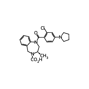 C[C@@H]1CN(C(=O)c2ccc(N3CCCC3)cc2Cl)c2ccccc2CN1C(=O)O